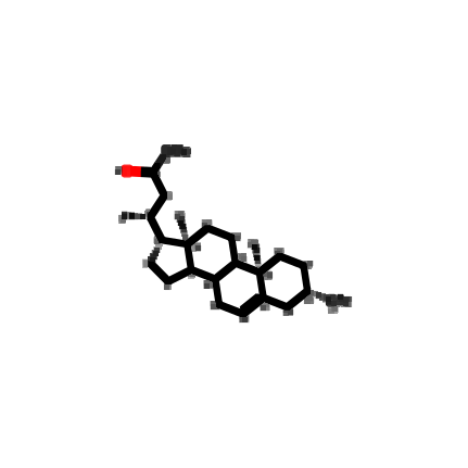 COC(=O)C[C@@H](C)[C@H]1CCC2C3CC=C4C[C@@H](OC(C)=O)CC[C@]4(C)C3CC[C@@]21C